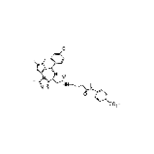 Cc1sc2c(c1C)C(c1ccc(Cl)cc1)=NC(CC(=O)NCCCC(=O)Nc1ccc(C(=O)O)cc1)c1nnc(C)n1-2